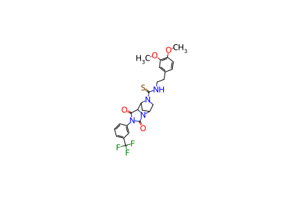 COc1ccc(CCNC(=S)N2CC3CC2C2C(=O)N(c4cccc(C(F)(F)F)c4)C(=O)N32)cc1OC